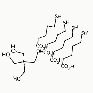 O=C(O)CCCCS.O=C(O)CCCCS.O=C(O)CCCCS.O=C(O)CCCCS.OCC(CO)(CO)CO